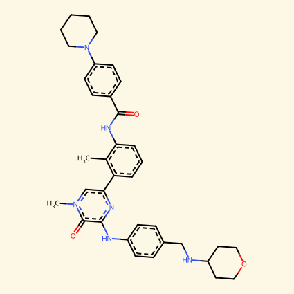 Cc1c(NC(=O)c2ccc(N3CCCCC3)cc2)cccc1-c1cn(C)c(=O)c(Nc2ccc(CNC3CCOCC3)cc2)n1